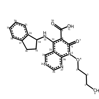 CCCCOn1c(=O)c(C(=O)O)c(NC2CCc3ccccc32)c2cncnc21